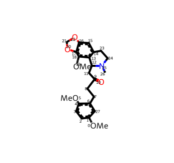 COc1ccc(OC)c(CCC(=O)CC2c3c(cc4c(c3OC)OCO4)CCN2C)c1